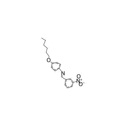 CCCCCCOc1ccc(/N=C/c2cccc([N+](=O)[O-])c2)cc1